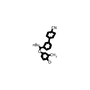 CCCCC(Oc1ccc([O])c(C)c1)c1cccc(-c2ccc(C#N)cc2)c1